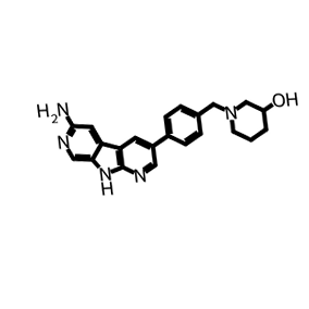 Nc1cc2c(cn1)[nH]c1ncc(-c3ccc(CN4CCCC(O)C4)cc3)cc12